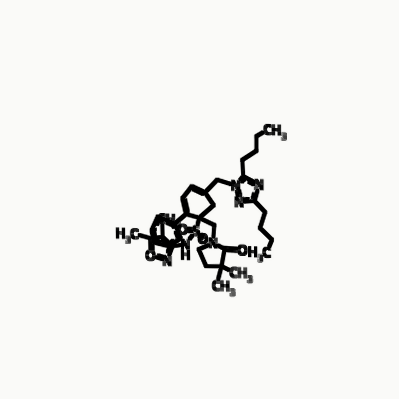 CCCCc1nc(CCCC)n(CC2=CC=C(c3ccccc3)C(CN3CCC(C)(C)C3=O)(S(=O)(=O)Nc3noc(C)c3C)C2)n1